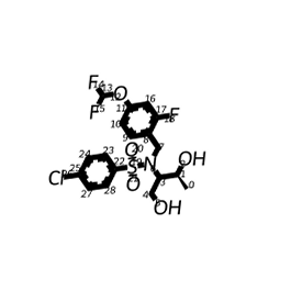 C[C@H](O)C(CO)N(Cc1ccc(OC(F)F)cc1F)S(=O)(=O)c1ccc(Cl)cc1